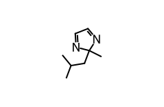 CC(C)CC1(C)N=CC=N1